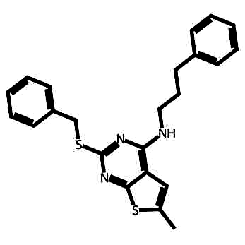 Cc1cc2c(NCCCc3ccccc3)nc(SCc3ccccc3)nc2s1